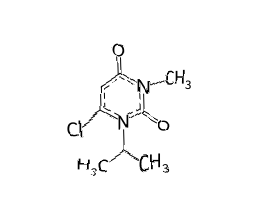 CC(C)n1c(Cl)cc(=O)n(C)c1=O